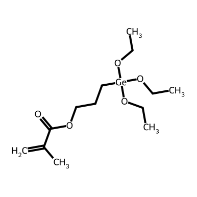 C=C(C)C(=O)OCC[CH2][Ge]([O]CC)([O]CC)[O]CC